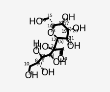 O=C[C@](O)([C@@H](O)[C@H](O)[C@H](O)CO)[C@H]1O[C@H](CO)[C@@H](O)[C@H](O)[C@H]1O